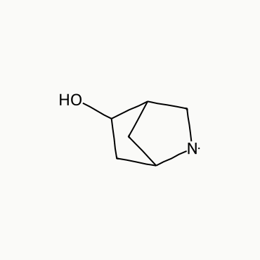 OC1CC2CC1C[N]2